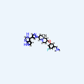 CN(C)CC1=CC(F)=CC(OC2CCN(CC(CC#N)n3cc(C4=c5cc[nH]c5=NCN4)cn3)CC2)C1